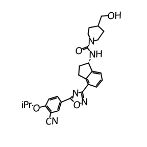 CC(C)Oc1ccc(-c2nc(-c3cccc4c3CC[C@@H]4NC(=O)N3CCC(CO)CC3)no2)cc1C#N